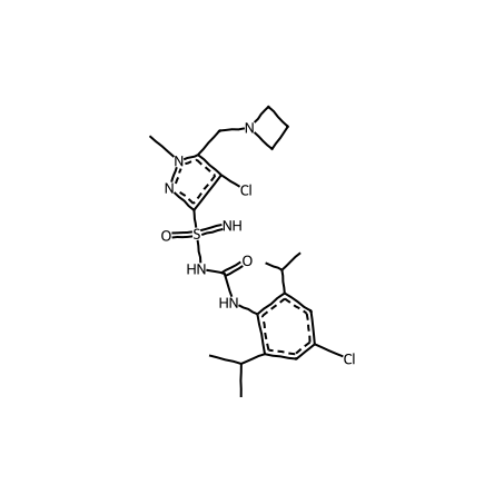 CC(C)c1cc(Cl)cc(C(C)C)c1NC(=O)NS(=N)(=O)c1nn(C)c(CN2CCC2)c1Cl